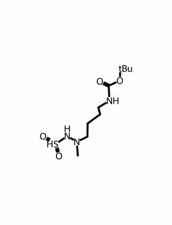 CN(CCCCNC(=O)OC(C)(C)C)N[SH](=O)=O